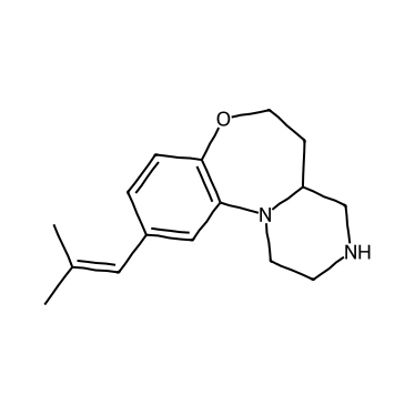 CC(C)=Cc1ccc2c(c1)N1CCNCC1CCO2